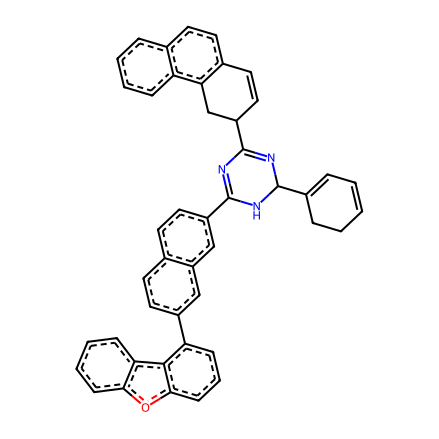 C1=CCCC(C2N=C(C3C=Cc4ccc5ccccc5c4C3)N=C(c3ccc4ccc(-c5cccc6oc7ccccc7c56)cc4c3)N2)=C1